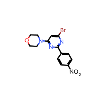 O=[N+]([O-])c1ccc(-c2nc(Br)cc(N3CCOCC3)n2)cc1